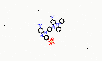 CN(C)c1ccc2nc3ccccc3[n+](-c3ccccc3)c2c1.CN(C)c1ccc2nc3ccccc3[n+](-c3ccccc3)c2c1.O=S(=O)([O-])[O-]